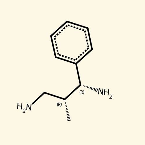 C[C@H](CN)[C@@H](N)c1ccccc1